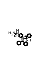 N=C(N)Nc1ccc([N+]2(Cc3ccccc3)N=C(C3CCCCC3)c3ccccc3NC2=O)cc1